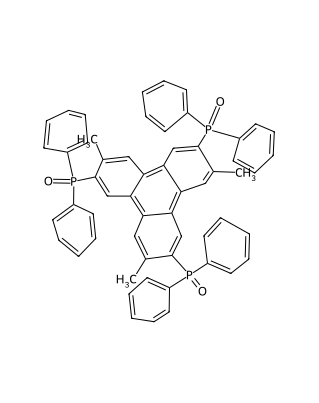 Cc1cc2c(cc1P(=O)(c1ccccc1)c1ccccc1)c1cc(C)c(P(=O)(c3ccccc3)c3ccccc3)cc1c1cc(C)c(P(=O)(c3ccccc3)c3ccccc3)cc21